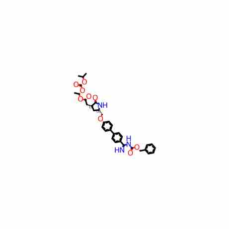 CC(C)OC(=O)OC(C)OC(=O)C[C@@H]1C[C@@H](COc2ccc(-c3ccc(C(=N)NC(=O)OCc4ccccc4)cc3)cc2)NC1=O